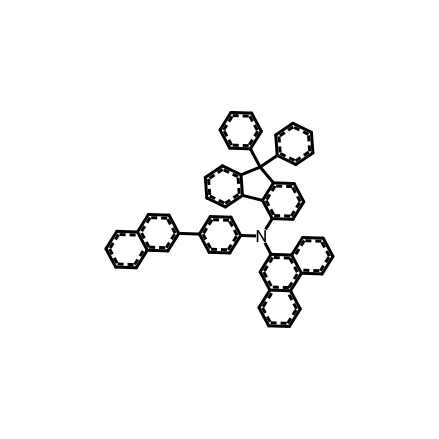 c1ccc(C2(c3ccccc3)c3ccccc3-c3c(N(c4ccc(-c5ccc6ccccc6c5)cc4)c4cc5ccccc5c5ccccc45)cccc32)cc1